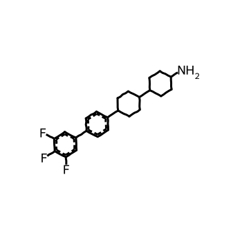 NC1CCC(C2CCC(c3ccc(-c4cc(F)c(F)c(F)c4)cc3)CC2)CC1